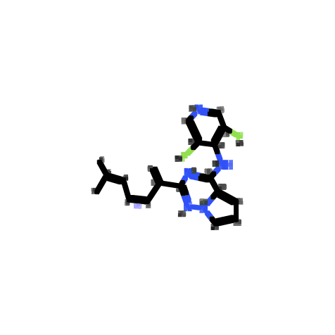 C=C(/C=C\C=C(C)C)c1nc(Nc2c(F)cncc2F)c2cccn2n1